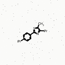 Cc1sc(-c2ccc(C(C)C)cc2)nc1C(C)C